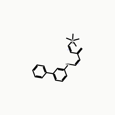 C=C(/C=C\Nc1cccc(-c2ccccc2)c1)/C=C\[SH](C)(C)(C)C